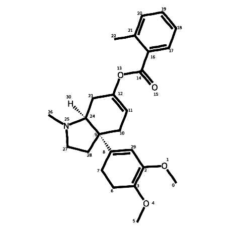 COC1=C(OC)CCC([C@@]23CC=C(OC(=O)c4ccccc4C)C[C@@H]2N(C)CC3)=C1